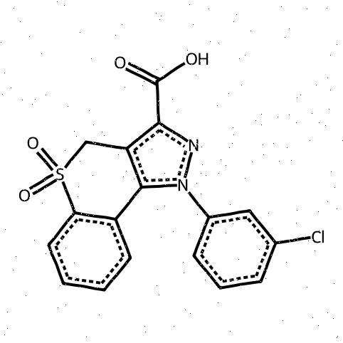 O=C(O)c1nn(-c2cccc(Cl)c2)c2c1CS(=O)(=O)c1ccccc1-2